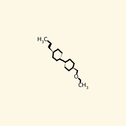 CC=C[C@H]1CC[C@H]([C@H]2CC[C@H](COCC)CC2)CC1